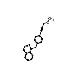 COCC#Cc1ccc(Cc2nccc3ccccc23)cc1